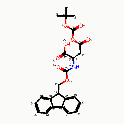 CC(C)(C)OC(=O)OC(=O)C[C@@H](NC(=O)OCC1c2ccccc2-c2ccccc21)C(=O)O